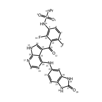 CCCS(=O)(=O)Nc1ccc(F)c(C(=O)c2c[nH]c3ncnc(Nc4ccc5[nH]c(=O)[nH]c5c4)c23)c1F